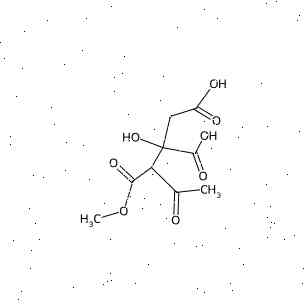 COC(=O)C(C(C)=O)C(O)(CC(=O)O)C(=O)O